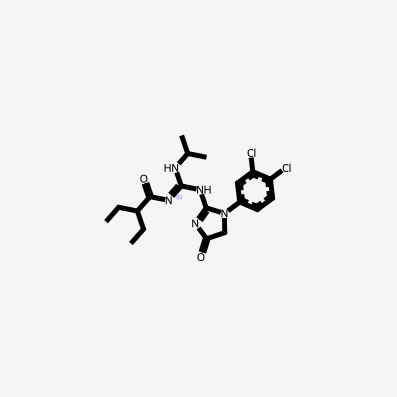 CCC(CC)C(=O)/N=C(/NC1=NC(=O)CN1c1ccc(Cl)c(Cl)c1)NC(C)C